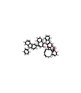 C=C1/C=C\C=C/COc2ccccc2C12c1ccccc1-c1cc3c4ccccc4n(-c4ccc(-c5ccc6c(c5)C5C=CC=CC5N6c5ccccc5)c5ccccc45)c3cc12